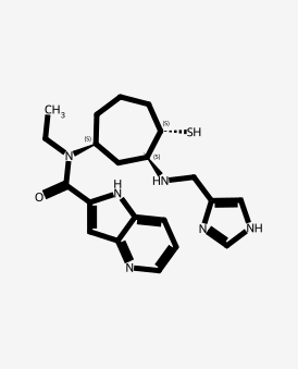 CCN(C(=O)c1cc2ncccc2[nH]1)[C@H]1CCC[C@H](S)[C@@H](NCc2c[nH]cn2)C1